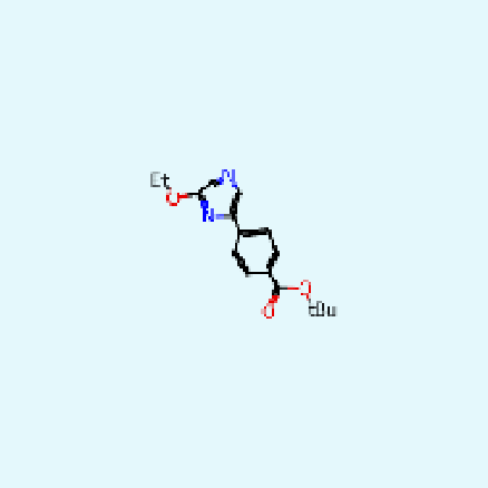 CCOc1cncc(-c2ccc(C(=O)OC(C)(C)C)cc2)n1